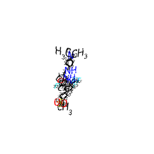 CC[C@@H](CNc1ccc(N(C)C)cc1)NC(=O)[C@H](CC(C)(C)F)N[C@@H](c1ccc(-c2ccc(S(C)(=O)=O)cc2)cc1)C(F)(F)F